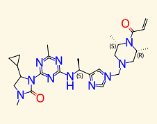 C=CC(=O)N1[C@H](C)CN(Cn2cnc([C@H](C)Nc3nc(C)nc(N4C(=O)N(C)CC4C4CC4)n3)c2)C[C@@H]1C